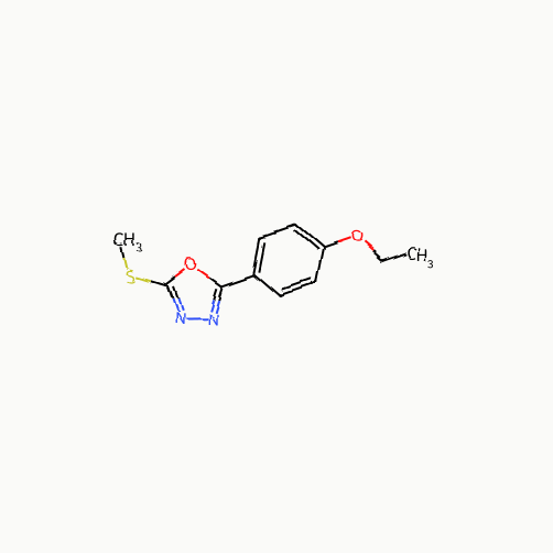 CCOc1ccc(-c2nnc(SC)o2)cc1